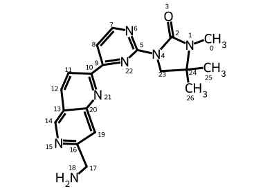 CN1C(=O)N(c2nccc(-c3ccc4cnc(CN)cc4n3)n2)CC1(C)C